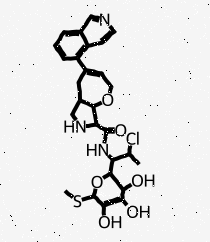 CSC1OC(C(NC(=O)C2NCC3CC(c4cccc5cnccc45)=CCOC32)C(C)Cl)C(O)C(O)=C1O